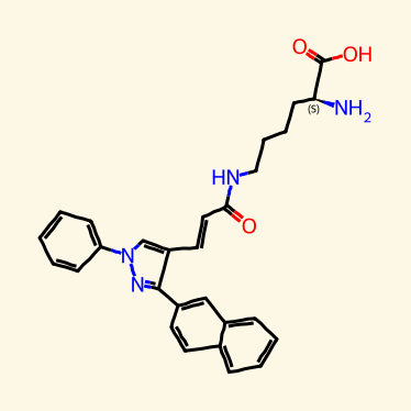 N[C@@H](CCCCNC(=O)C=Cc1cn(-c2ccccc2)nc1-c1ccc2ccccc2c1)C(=O)O